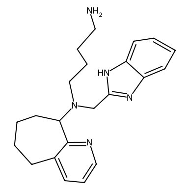 NCCCCN(Cc1nc2ccccc2[nH]1)C1CCCCc2cccnc21